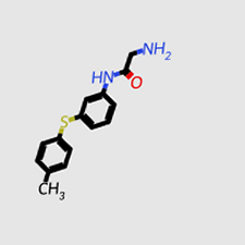 Cc1ccc(Sc2cccc(NC(=O)CN)c2)cc1